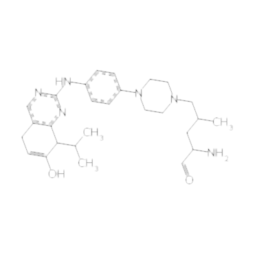 CC(CC(N)C=O)CN1CCN(c2ccc(Nc3ncc4c(n3)C(C(C)C)C(O)=CC4)cc2)CC1